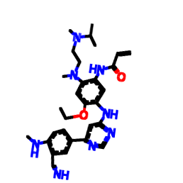 C=CC(=O)Nc1cc(Nc2cc(-c3ccc(NC)c(C=N)c3)ncn2)c(OCC)cc1N(C)CCN(C)C(C)C